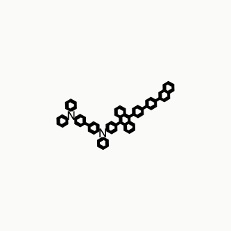 c1ccc(N(c2ccccc2)c2ccc(-c3ccc(N(c4ccccc4)c4ccc(-c5c6ccccc6c(-c6ccc(-c7ccc(-c8ccc9ccccc9c8)cc7)cc6)c6ccccc56)cc4)cc3)cc2)cc1